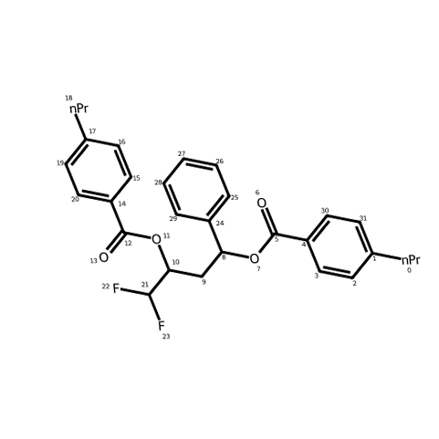 CCCc1ccc(C(=O)OC(CC(OC(=O)c2ccc(CCC)cc2)C(F)F)c2ccccc2)cc1